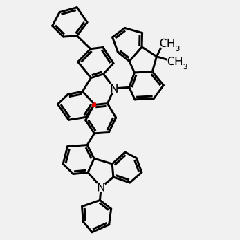 CC1(C)c2ccccc2-c2c(N(c3ccc(-c4cccc5c4c4ccccc4n5-c4ccccc4)cc3)c3ccc(-c4ccccc4)cc3-c3ccccc3)cccc21